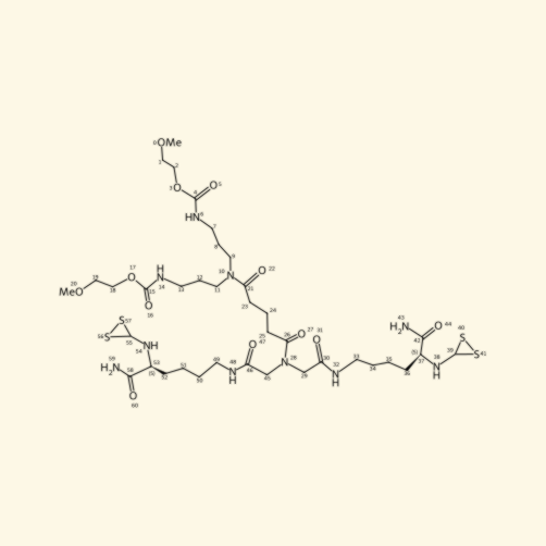 COCCOC(=O)NCCCN(CCCNC(=O)OCCOC)C(=O)CCCC(=O)N(CC(=O)NCCCC[C@H](NC1SS1)C(N)=O)CC(=O)NCCCC[C@H](NC1SS1)C(N)=O